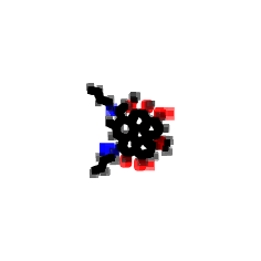 CCCC/N=C(\C)C1C(C)=Cc2c(NCCCC)c(=O)c3c(O)cc(OC)c4c5c(OC)cc(O)c6c(=O)c(OC)c1c(c2c34)c65